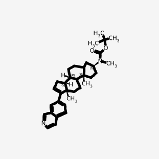 CN(C(=O)OC(C)(C)C)[C@H]1CC[C@@]2(C)C(CC[C@@H]3C2CC[C@]2(C)C(c4ccc5ccncc5c4)=CC[C@@H]32)C1